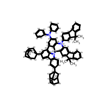 CC1(C)c2ccccc2-c2ccc(N3c4cc5c(cc4B4c6c(cc(N(c7ccccc7)c7ccccc7)cc63)-c3cc(C67CCC8CC(CC8C6)C7)cc6c7cc(C89CC%10CC(CC(C%10)C8)C9)ccc7n4c36)C(C)(C)c3ccccc3-5)cc21